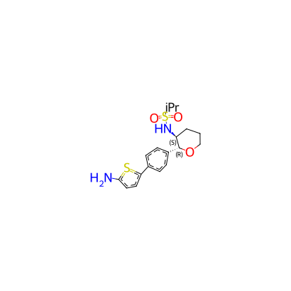 CC(C)S(=O)(=O)N[C@H]1CCCO[C@@H]1c1ccc(-c2ccc(N)s2)cc1